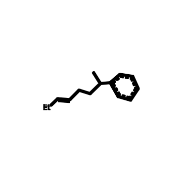 [CH2]CC=CCCC(C)c1ccccc1